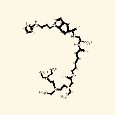 O=C(O)CN(CCN(CC(=O)O)CC(=O)O)CCN(CC(=O)O)CC(=O)NCCCCCC(=O)N[C@@H](CNC(=O)c1ccc2c(cnn2CCCNc2ncc[nH]2)c1)C(=O)O